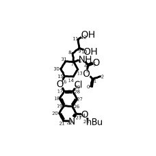 C=C(C)OC(=O)NC1(CC(O)CO)CCC(Oc2cc3ccnc(OCCCC)c3cc2Cl)CC1